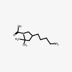 CC1(C)CC(CCCCN)CN1C(=O)O